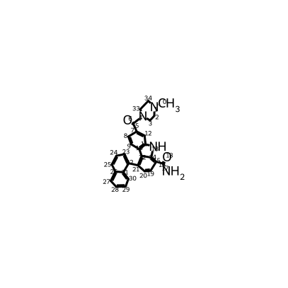 CN1CCN(C(=O)c2ccc3c(c2)[nH]c2c(C(N)=O)ccc(-c4cccc5ccccc45)c23)CC1